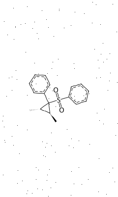 C[C@H]1[C@H](C)C1(c1ccccc1)S(=O)(=O)c1ccccc1